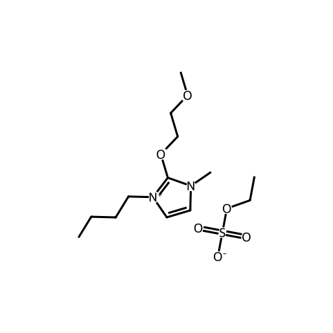 CCCC[n+]1ccn(C)c1OCCOC.CCOS(=O)(=O)[O-]